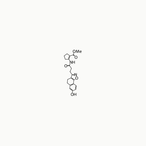 COC(=O)C1=C(NC(=O)CCc2noc3c2CCc2cc(O)ccc2-3)CCC1